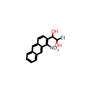 [CH2]CC(O)C(O)c1ccc2cc3ccccc3cc2c1[N+](=O)[O-]